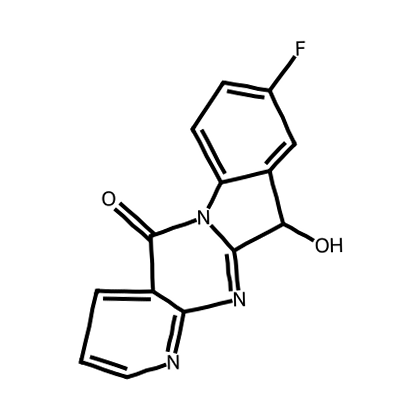 O=c1c2cccnc2nc2n1-c1ccc(F)cc1C2O